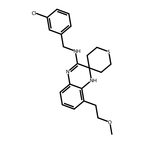 COCCc1cccc2c1NC1(CCSCC1)C(NCc1cccc(Cl)c1)=N2